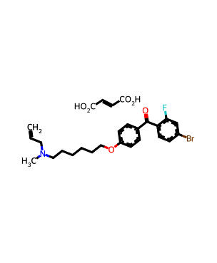 C=CCN(C)CCCCCCOc1ccc(C(=O)c2ccc(Br)cc2F)cc1.O=C(O)/C=C/C(=O)O